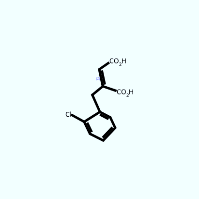 O=C(O)/C=C(/Cc1ccccc1Cl)C(=O)O